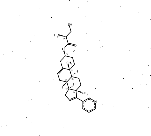 C[C@]12CC[C@H](OC(=O)[C@@H](N)CS)CC1=CC[C@@H]1[C@@H]2CC[C@]2(C)C(c3cccnc3)=CC[C@@H]12